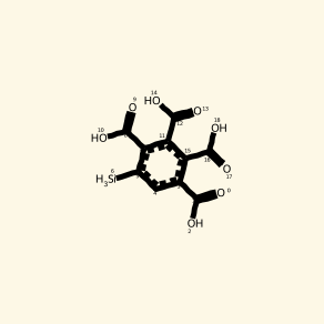 O=C(O)c1cc([SiH3])c(C(=O)O)c(C(=O)O)c1C(=O)O